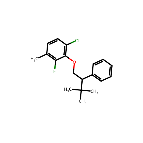 Cc1ccc(Cl)c(OCC(c2ccccc2)C(C)(C)C)c1F